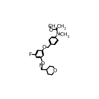 C=C(OC)N(C)c1ccc(COc2cc(F)cc(O/N=C\C3CCOCC3)c2)cc1